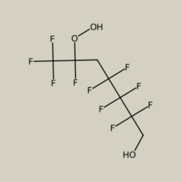 OCC(F)(F)C(F)(F)C(F)(F)CC(F)(OO)C(F)(F)F